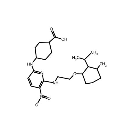 CC(C)C1C(C)CCCC1OCCNc1nc(NC2CCC(C(=O)O)CC2)ccc1[N+](=O)[O-]